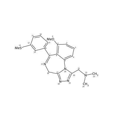 COc1cccc2c1C(c1cccc(SC)c1)=NCc1nnc(CN(C)C)n1-2